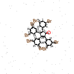 O=C1C(c2cc(Br)cc(Br)c2)=C(c2cc(Br)cc(Br)c2)C(c2cc(Br)cc(Br)c2)=C1c1cc(Br)cc(Br)c1